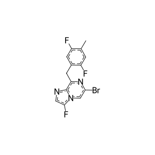 Cc1cc(F)c(Cc2nc(Br)cn3c(F)cnc23)cc1F